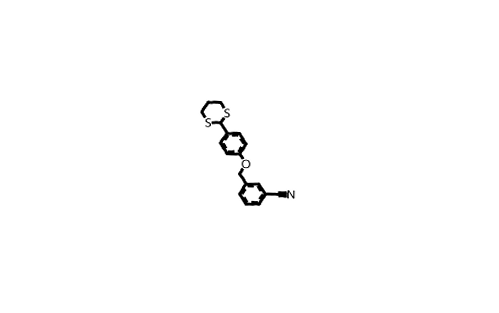 N#Cc1cccc(COc2ccc(C3SCCCS3)cc2)c1